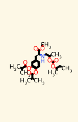 CCC(C)OC(=O)OC(C)CN[C@@H](Cc1ccc(OC(=O)C(C)C)c(OC(=O)C(C)C)c1)C(=O)OC